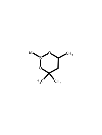 CCB1OC(C)CC(C)(C)O1